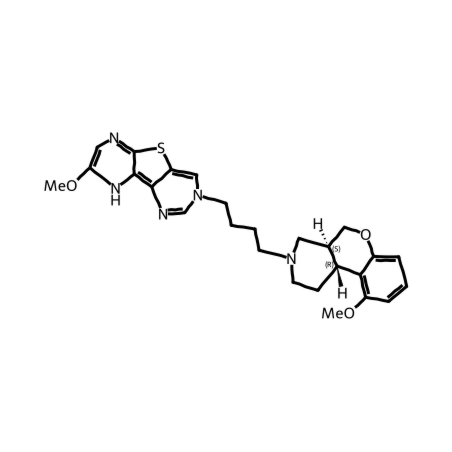 COC1=CN=c2sc3c(c2N1)N=CN(CCCCN1CC[C@H]2c4c(OC)cccc4OC[C@@H]2C1)C=3